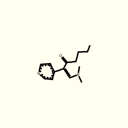 CCCCC(=O)C(=CN(C)C)c1ccncc1